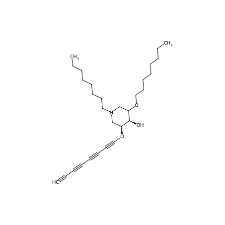 C#CC#CC#CC#CO[C@H]1CN(CCCCCCCC)CC(OCCCCCCCC)[C@H]1O